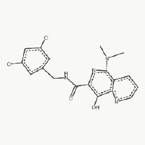 CN(C)c1nc(C(=O)NCc2cc(Cl)cc(Cl)c2)c(O)c2ncccc12